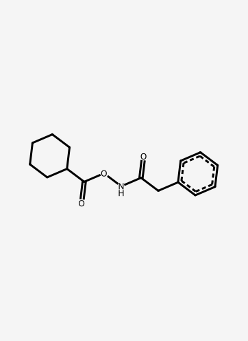 O=C(Cc1ccccc1)NOC(=O)C1CCCCC1